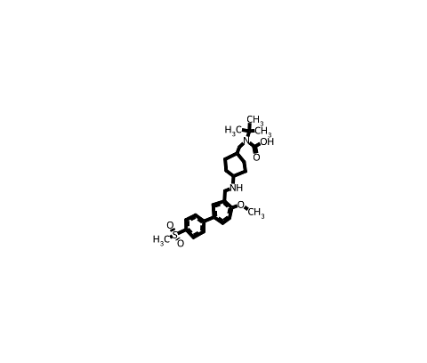 COc1ccc(-c2ccc(S(C)(=O)=O)cc2)cc1CNC1CCC(CN(C(=O)O)C(C)(C)C)CC1